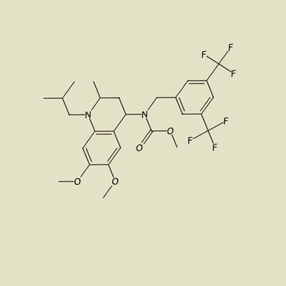 COC(=O)N(Cc1cc(C(F)(F)F)cc(C(F)(F)F)c1)C1CC(C)N(CC(C)C)c2cc(OC)c(OC)cc21